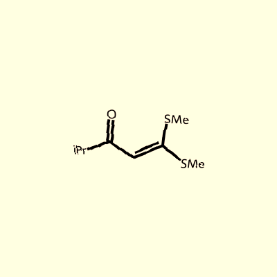 CSC(=CC(=O)C(C)C)SC